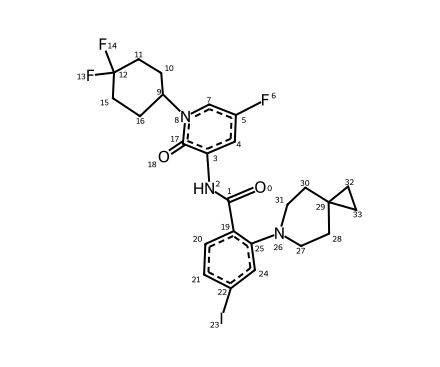 O=C(Nc1cc(F)cn(C2CCC(F)(F)CC2)c1=O)c1ccc(I)cc1N1CCC2(CC1)CC2